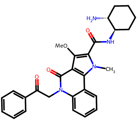 COc1c(C(=O)N[C@@H]2CCCC[C@H]2N)n(C)c2c1c(=O)n(CC(=O)c1ccccc1)c1ccccc21